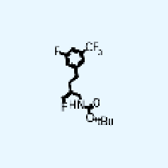 CC(C)(C)OC(=O)NC/C(=C\F)CCc1cc(F)cc(C(F)(F)F)c1